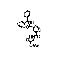 COC(=O)CNC(=O)c1cc(C(=O)NC(C2=CC=CCC2)C2=COC=CO2)ncn1